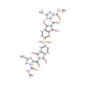 C[C@H]1C[C@@H](C(=O)C2C(=O)c3ccc(S(=O)(=O)c4ccc5c(c4)C(=O)C(C(=O)[C@@H]4C[C@H](C)CN4C(=O)OC(C)(C)C)C5=O)cc3C2=O)N(C(=O)OC(C)(C)C)C1